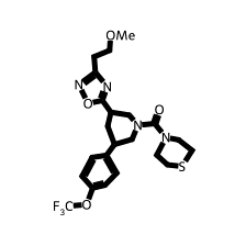 COCCc1noc(C2CC(c3ccc(OC(F)(F)F)cc3)CN(C(=O)N3CCSCC3)C2)n1